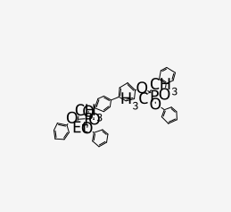 CCC(C)(Oc1ccccc1)P(=O)(Oc1ccccc1)Oc1ccc(-c2ccc(OC(C)(C)P(Oc3ccccc3)Oc3ccccc3)cc2)cc1